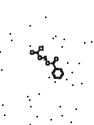 O=C(Cl)OSOC(=O)c1ccccc1